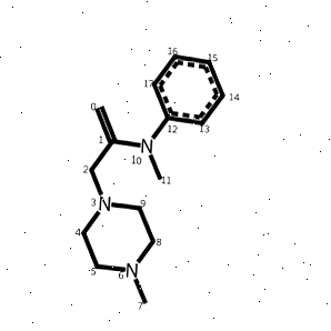 C=C(CN1CCN(C)CC1)N(C)c1ccccc1